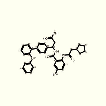 O=C(O)CC(NC(=O)c1cc(Br)ccc1NC(=O)CC1CCCC1)c1ccc(-c2ccccc2Oc2ccccc2)cc1